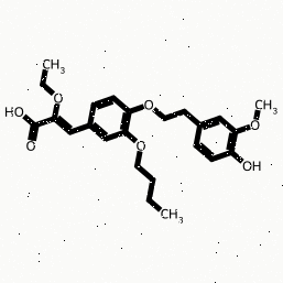 CCCCOc1cc(C=C(OCC)C(=O)O)ccc1OCCc1ccc(O)c(OC)c1